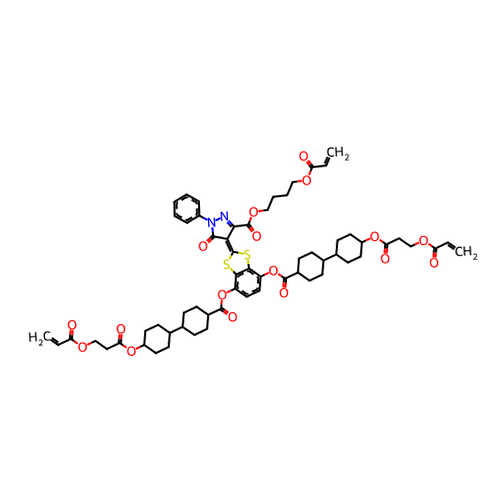 C=CC(=O)OCCCCOC(=O)C1=NN(c2ccccc2)C(=O)C1=C1Sc2c(OC(=O)C3CCC(C4CCC(OC(=O)CCOC(=O)C=C)CC4)CC3)ccc(OC(=O)C3CCC(C4CCC(OC(=O)CCOC(=O)C=C)CC4)CC3)c2S1